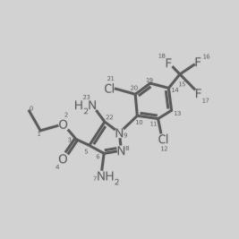 CCOC(=O)c1c(N)nn(-c2c(Cl)cc(C(F)(F)F)cc2Cl)c1N